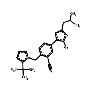 [2H]c1sc(CC(C)C)cc1-c1ccc(Cn2ccnc2C(C)(C)C)c(C#N)c1